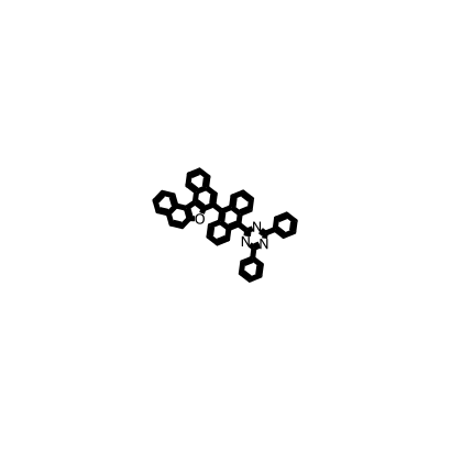 c1ccc(-c2nc(-c3ccccc3)nc(-c3c4ccccc4c(-c4cc5ccccc5c5c4oc4ccc6ccccc6c45)c4ccccc34)n2)cc1